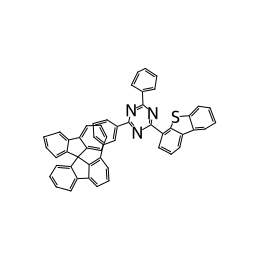 c1ccc(-c2nc(-c3cccc(-c4cccc5c4C4(c6ccccc6-c6ccccc64)c4ccccc4-5)c3)nc(-c3cccc4c3sc3ccccc34)n2)cc1